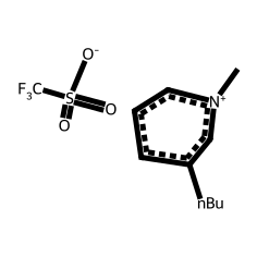 CCCCc1ccc[n+](C)c1.O=S(=O)([O-])C(F)(F)F